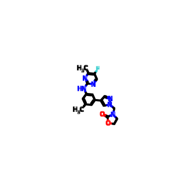 Cc1cc(Nc2ncc(F)c(C)n2)cc(-c2cnn(CN3CCOC3=O)c2)c1